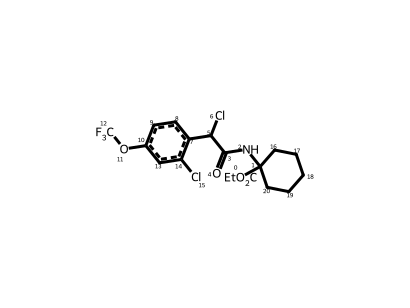 CCOC(=O)C1(NC(=O)C(Cl)c2ccc(OC(F)(F)F)cc2Cl)CCCCC1